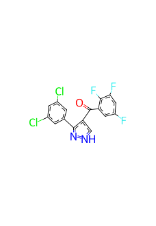 O=C(c1c[nH]nc1-c1cc(Cl)cc(Cl)c1)c1cc(F)cc(F)c1F